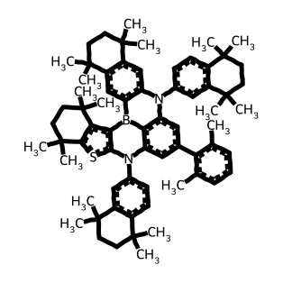 Cc1cccc(C)c1-c1cc2c3c(c1)N(c1ccc4c(c1)C(C)(C)CCC4(C)C)c1sc4c(c1B3c1cc3c(cc1N2c1ccc2c(c1)C(C)(C)CCC2(C)C)C(C)(C)CCC3(C)C)C(C)(C)CCC4(C)C